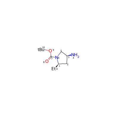 CC[C@@H]1C[C@H](N)CN1C(=O)OC(C)(C)C